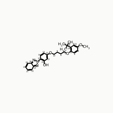 COc1ccc(OCCCCOc2ccc(-n3nc4ccccc4n3)c(O)c2)c(C(C)(C)C)c1